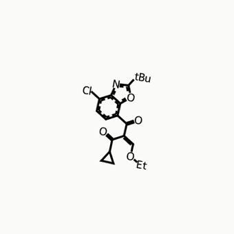 CCOC=C(C(=O)c1ccc(Cl)c2nc(C(C)(C)C)oc12)C(=O)C1CC1